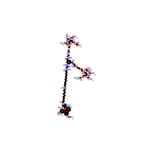 COc1ccc(C(OCC2(C)CN(C(=O)CCCCCCCCCNCCCCCCCCCCCC(=O)NCC(=O)Nc3cc(C(=O)NCCOCCOCCOC4O[C@H](COC(C)=O)[C@H](OC(C)=O)[C@H](OC(C)=O)[C@H]4NC(C)=O)cc(C(=O)NCCOCCOCCOC4O[C@H](COC(C)=O)[C@H](OC(C)=O)[C@H](OC(C)=O)[C@H]4NC(C)=O)c3)CC2(C)CO)(c2ccccc2)c2ccc(OC)cc2)cc1